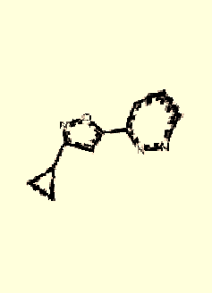 c1cnnc(-c2cc(C3CC3)no2)c1